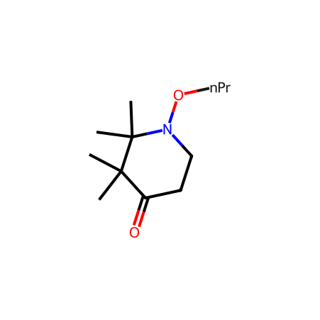 CCCON1CCC(=O)C(C)(C)C1(C)C